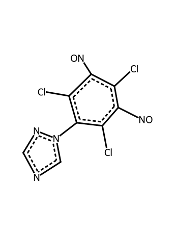 O=Nc1c(Cl)c(N=O)c(Cl)c(-n2cncn2)c1Cl